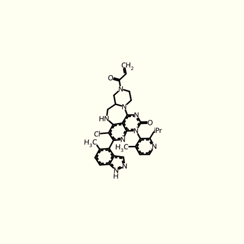 C=CC(=O)N1CCN2c3nc(=O)n(-c4c(C)ccnc4C(C)C)c4nc(-c5c(C)ccc6[nH]ncc56)c(Cl)c(c34)NCC2C1